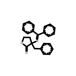 O=C1OCCC1(Cc1ccccc1)N=C(c1ccccc1)c1ccccc1